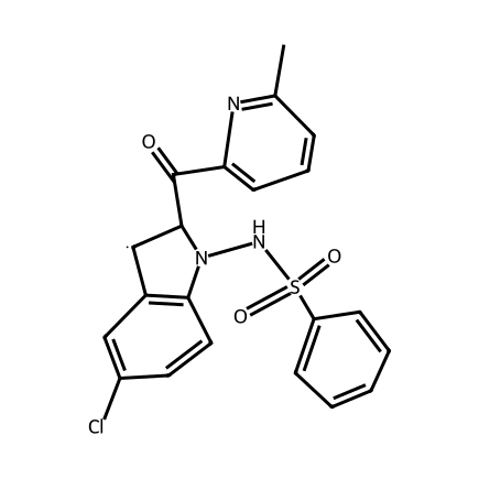 Cc1cccc(C(=O)C2[CH]c3cc(Cl)ccc3N2NS(=O)(=O)c2ccccc2)n1